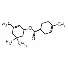 CC1=CCC(C(=O)OC2C=C(C)CC(C)(C)C2)CC1